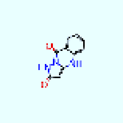 O=c1cc2[nH]c3ccccc3c(=O)n2[nH]1